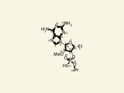 CC[C@H]1O[C@@H](n2cnc3c(N)nc(N)nc32)[C@@H](OC)[C@H]1OP(=O)(S)OC(C)C